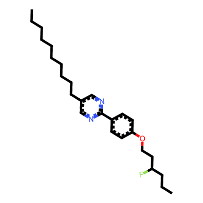 CCCCCCCCCCc1cnc(-c2ccc(OCCC(F)CCC)cc2)nc1